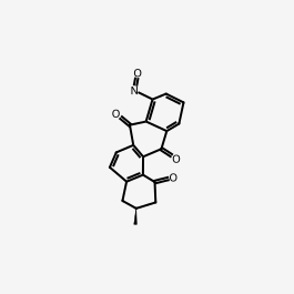 C[C@@H]1CC(=O)c2c(ccc3c2C(=O)c2cccc(N=O)c2C3=O)C1